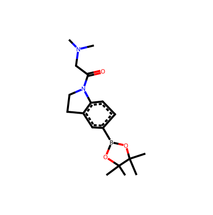 CN(C)CC(=O)N1CCc2cc(B3OC(C)(C)C(C)(C)O3)ccc21